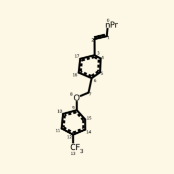 CCCC=Cc1ccc(COc2ccc(C(F)(F)F)cc2)cc1